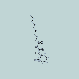 CCCCCCCCCC(=O)CC(=O)N[C@H]1CCCC[C@H]1O